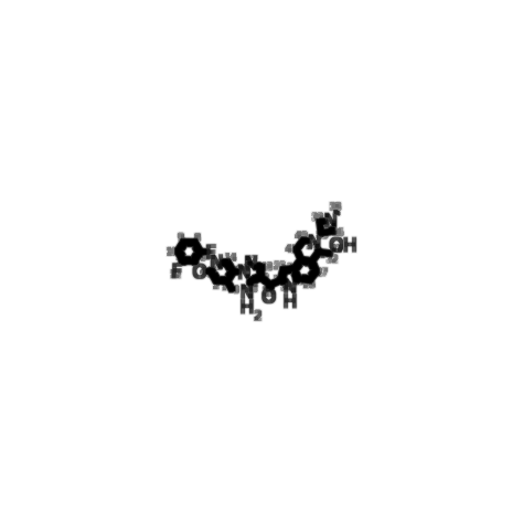 Cc1cc(Oc2c(F)cccc2F)ncc1-n1ncc(C(=O)c2cc3c4c(ccc3[nH]2)C(CO)N(C2CN(C)C2)CC4)c1N